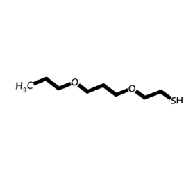 CCCOCCCOCCS